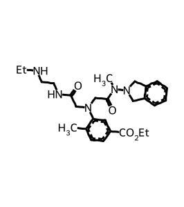 CCNCCNC(=O)CN(CC(=O)N(C)N1Cc2ccccc2C1)c1cc(C(=O)OCC)ccc1C